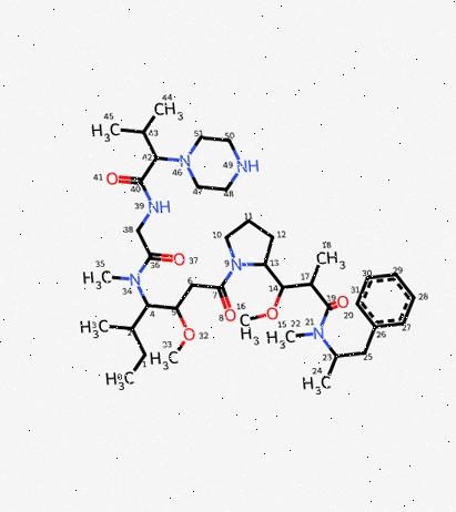 CCC(C)C(C(CC(=O)N1CCCC1C(OC)C(C)C(=O)N(C)C(C)Cc1ccccc1)OC)N(C)C(=O)CNC(=O)C(C(C)C)N1CCNCC1